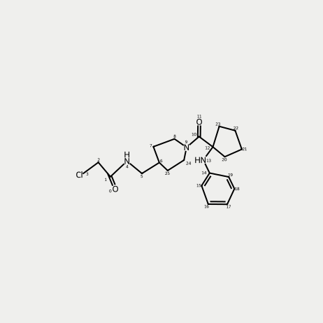 O=C(CCl)NCC1CCN(C(=O)C2(Nc3ccccc3)CCCC2)CC1